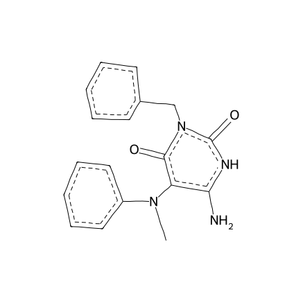 CN(c1ccccc1)c1c(N)[nH]c(=O)n(Cc2ccccc2)c1=O